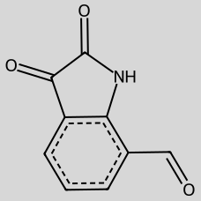 O=Cc1cccc2c1NC(=O)C2=O